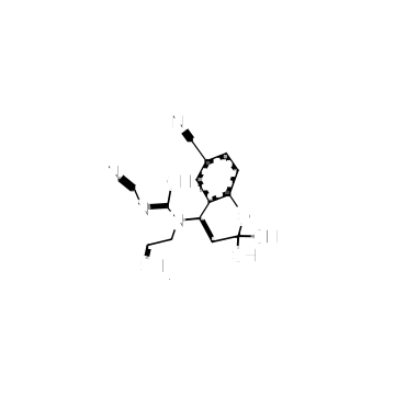 C=CCN(C1=CC(C)(C)Oc2ccc(C#N)cc21)/C(C)=N/C#N